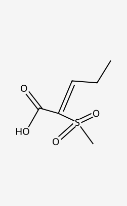 CCC=C(C(=O)O)S(C)(=O)=O